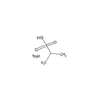 CC(C)S(=O)(=O)O.[NaH]